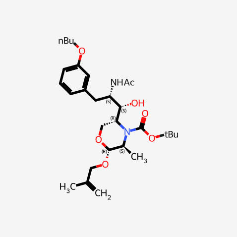 C=C(C)CO[C@@H]1OC[C@H]([C@@H](O)[C@H](Cc2cccc(OCCCC)c2)NC(C)=O)N(C(=O)OC(C)(C)C)[C@H]1C